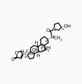 CN(C(=O)N1CC[C@H](O)C1)[C@H]1CC[C@@]2(C)[C@H](CC[C@@H]3[C@@H]2CC[C@]2(C)[C@@H](C4=CC(=O)OC4)CC[C@]32O)C1